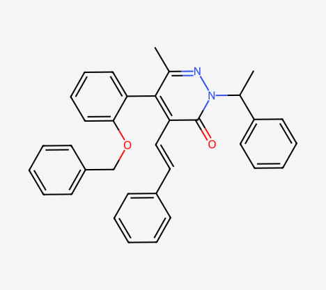 Cc1nn(C(C)c2ccccc2)c(=O)c(C=Cc2ccccc2)c1-c1ccccc1OCc1ccccc1